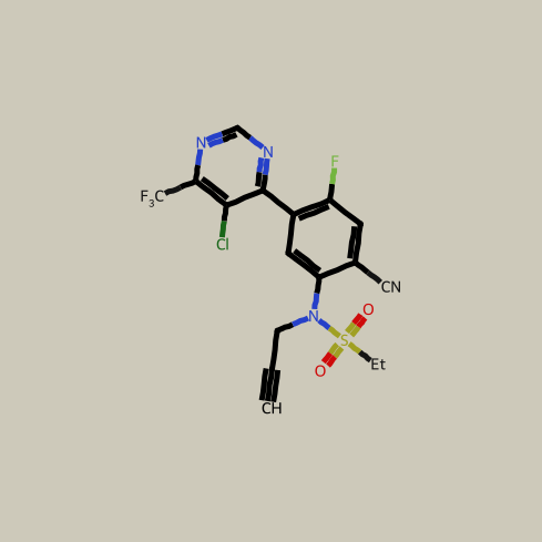 C#CCN(c1cc(-c2ncnc(C(F)(F)F)c2Cl)c(F)cc1C#N)S(=O)(=O)CC